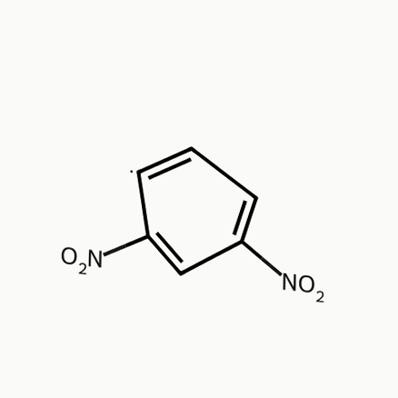 O=[N+]([O-])c1[c]ccc([N+](=O)[O-])c1